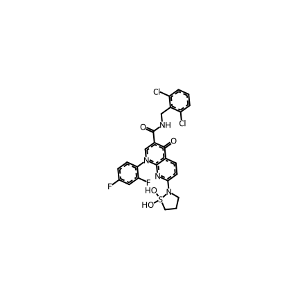 O=C(NCc1c(Cl)cccc1Cl)c1cn(-c2ccc(F)cc2F)c2nc(N3CCCS3(O)O)ccc2c1=O